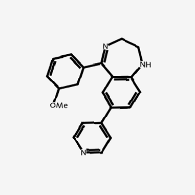 COC1C=CC=C(C2=NCCNc3ccc(-c4ccncc4)cc32)C1